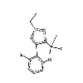 CCn1cc(-c2c(O)cccc2Br)c(C(F)(F)F)n1